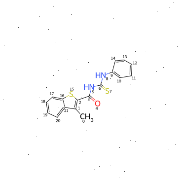 Cc1c(C(=O)NC(=S)Nc2ccccc2)sc2ccccc12